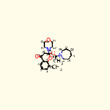 Cc1cccc2c1OC(OC(C)N1CCCCCC1)(N1CCOCC1)CC2=O